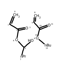 C=CC(=O)OC(O)CCC.C=CC(=O)OCCCC